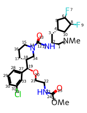 CNC[C@H](C[C@@H]1C[C@@H](F)[C@@H](F)C1)NC(=O)N1CCC[C@@H]([C@@H](OCCNC(=O)OC)c2cccc(Cl)c2)C1